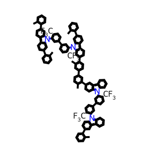 Cc1ccccc1-c1ccc2c(c1)c1ccccc1n2-c1cc(-c2ccc(C(F)(F)F)c(-n3c4ccccc4c4cc(-c5cc(-c6ccc(-c7ccc8c9ccc(-c%10ccccc%10C)cc9n(-c9cc(-c%10ccc(C(F)(F)F)c(-n%11c%12cc(-c%13ccccc%13C)ccc%12c%12ccc(-c%13ccccc%13C)cc%12%11)c%10)ccc9C(F)(F)F)c8c7)c(C)c6)ccc5C)ccc43)c2)ccc1C(F)(F)F